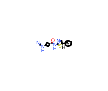 N#CN[C@H]1C[C@H](C(=O)Nc2ncc([C@H]3CC4CCC3CC4)s2)C1